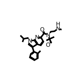 CNCCN(C(=O)c1ccc2c(-c3ccccc3C)cn(CC(C)C)c2n1)C(C)(C)C=O